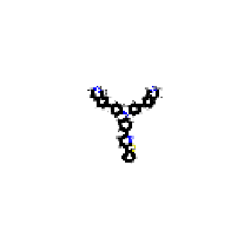 c1ccc2c(c1)sc1nc(-c3ccc(N(c4ccc(-c5ccc6ccncc6c5)cc4)c4ccc(-c5ccc6ccncc6c5)cc4)cc3)ccc12